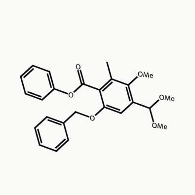 COc1c(C(OC)OC)cc(OCc2ccccc2)c(C(=O)Oc2ccccc2)c1C